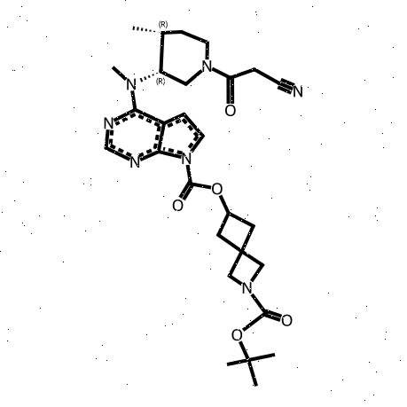 C[C@@H]1CCN(C(=O)CC#N)C[C@@H]1N(C)c1ncnc2c1ccn2C(=O)OC1CC2(C1)CN(C(=O)OC(C)(C)C)C2